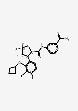 C[C@H]1[C@H](c2ccc(F)c(F)c2OC2CCC2)[C@H](C(=O)Nc2ccnc(C(N)=O)c2)O[C@@]1(C)C(F)(F)F